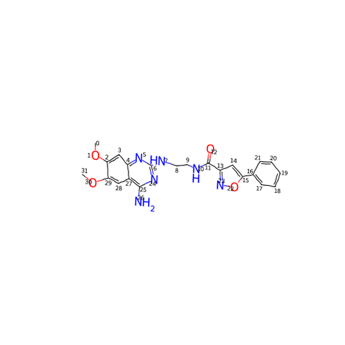 COc1cc2nc(NCCNC(=O)c3cc(-c4ccccc4)on3)nc(N)c2cc1OC